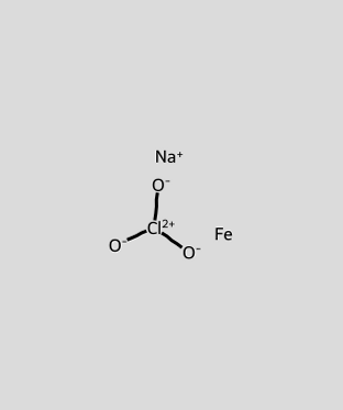 [Fe].[Na+].[O-][Cl+2]([O-])[O-]